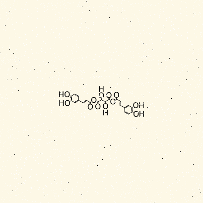 O=C(/C=C/c1ccc(O)c(O)c1)OC(=O)C(O)C(O)C(=O)OC(=O)/C=C/c1ccc(O)c(O)c1